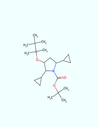 CC(C)(C)OC(=O)N1C(C2CC2)CC(O[Si](C)(C)C(C)(C)C)C1C1CC1